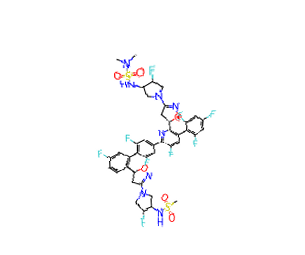 CN(C)S(=O)(=O)N[C@@H]1CN(C2=NOC(c3nc(-c4cc(F)c(-c5cc(F)ccc5C5CC(N6C[C@H](F)[C@H](NS(C)(=O)=O)C6)=NO5)c(F)c4)c(F)cc3-c3c(F)cc(F)cc3F)C2)C[C@@H]1F